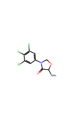 CNC1OCN(c2cc(Cl)c(F)c(Cl)c2)C1=O